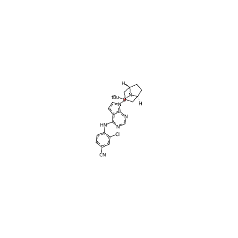 CC(C)(C)ON1[C@H]2CC[C@H]1CC(n1ccc3c(Nc4ccc(C#N)cc4Cl)ncnc31)C2